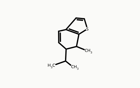 CC(C)C1C=Cc2ccsc2C1C